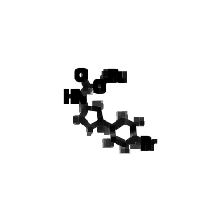 CC(C)(C)OC(=O)NC1CCC(c2ccc(Br)cc2)C1